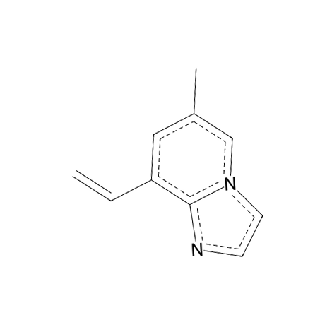 C=Cc1cc(C)cn2ccnc12